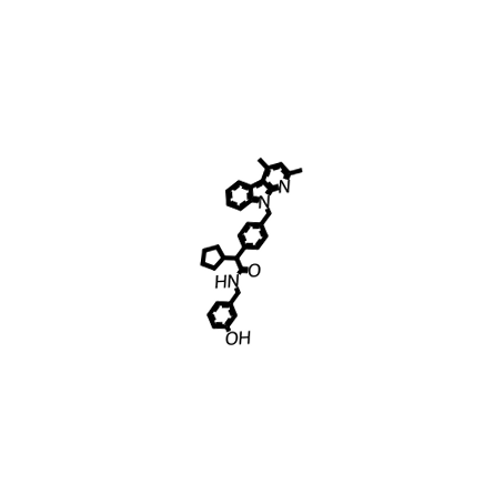 Cc1cc(C)c2c3ccccc3n(Cc3ccc(C(C(=O)NCc4cccc(O)c4)C4CCCC4)cc3)c2n1